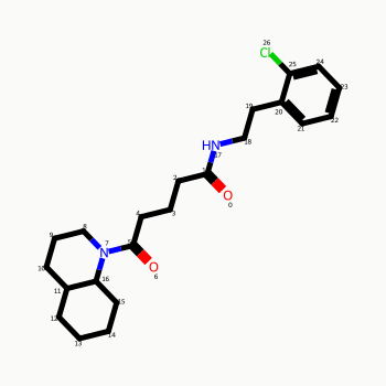 O=C(CCCC(=O)N1CCCC2CCCCC21)NCCc1ccccc1Cl